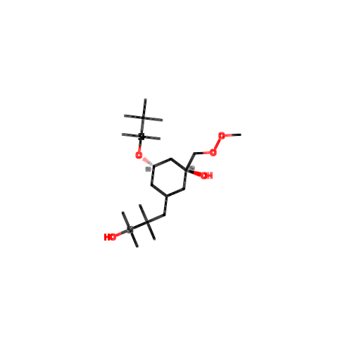 COOC[C@]1(O)CC(CC(C)(C)[Si](C)(C)O)C[C@H](O[Si](C)(C)C(C)(C)C)C1